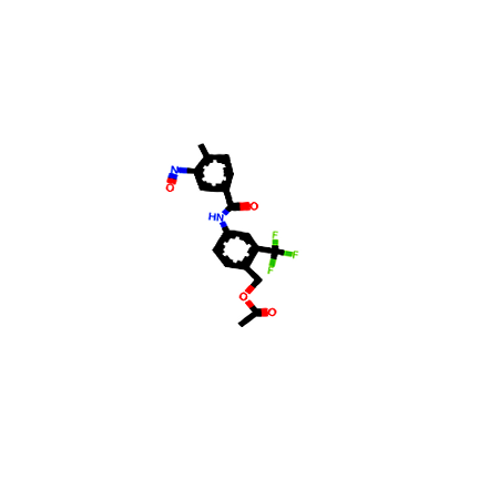 CC(=O)OCc1ccc(NC(=O)c2ccc(C)c(N=O)c2)cc1C(F)(F)F